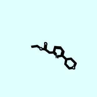 CCOC(=O)Cc1cccc(C2CCOCC2)n1